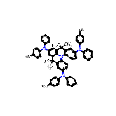 CC(C)(C)c1ccc(N(C2=CC=CCC2)c2ccc3c(c2)C(C)(C)C2CC(N(c4ccccc4)c4ccc(C(C)(C)C)cc4)=CC4=C2N3c2ccc(N(c3ccccc3)c3ccc(C(C)(C)C)cc3)cc2C4(C)C)cc1